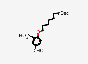 CCCCCCCCCCCCCCCCOc1ccc(C=O)cc1S(=O)(=O)O